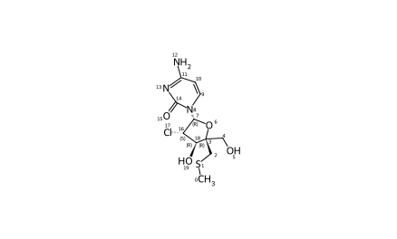 CSC[C@]1(CO)O[C@@H](n2ccc(N)nc2=O)[C@@H](Cl)[C@@H]1O